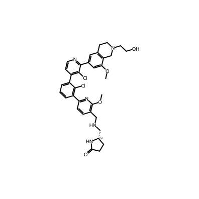 COc1cc(-c2nccc(-c3cccc(-c4ccc(CNC[C@@H]5CCC(=O)N5)c(OC)n4)c3Cl)c2Cl)cc2c1CN(CCO)CC2